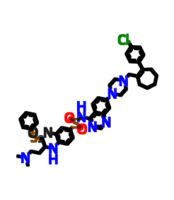 CN(C)CCC(CSc1ccccc1)Nc1ccc(S(=O)(=O)Nc2ncnc3cc(N4CCN(CC5=C(c6ccc(Cl)cc6)CCCCC5)CC4)ccc23)cc1[N+](=O)[O-]